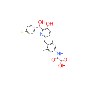 Cc1cc(NC(=O)C(=O)O)cc(C)c1Cc1ccc(O)c(C(O)c2ccc(F)cc2)n1